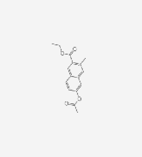 CCOC(=O)c1cc2ccc(OC(C)=O)cc2cc1C